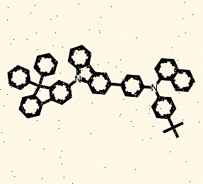 CC(C)(C)c1ccc(N(c2ccc(-c3ccc4c(c3)c3ccccc3n4-c3ccc4c(c3)C(c3ccccc3)(c3ccccc3)c3ccccc3-4)cc2)c2cccc3ccccc23)cc1